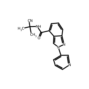 CC(C)(C#N)NC(=O)c1cccc2nn(-c3cccnc3)cc12